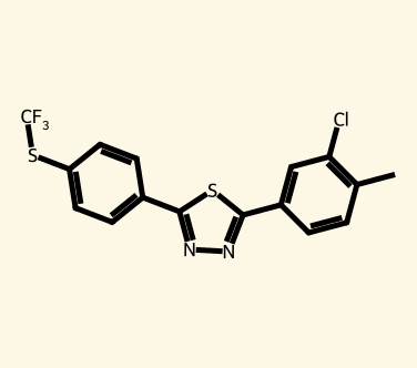 Cc1ccc(-c2nnc(-c3ccc(SC(F)(F)F)cc3)s2)cc1Cl